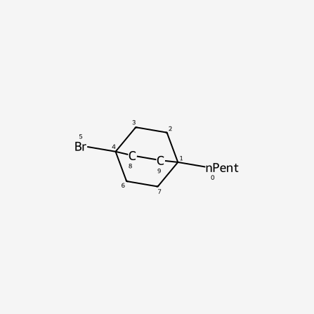 CCCCCC12CCC(Br)(CC1)CC2